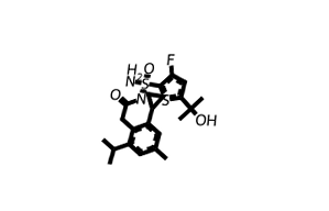 Cc1cc(C(C)C)c(CC(=O)N=S(N)(=O)c2sc(C(C)(C)O)cc2F)c(C2CC2)c1